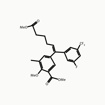 COC(=O)CCCC=C(c1cc(F)cc(C(F)(F)F)c1)c1cc(C)c(OC)c(C(=O)OC)c1